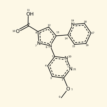 COc1ccc(-n2nc(C(=O)O)cc2-c2ccccn2)nn1